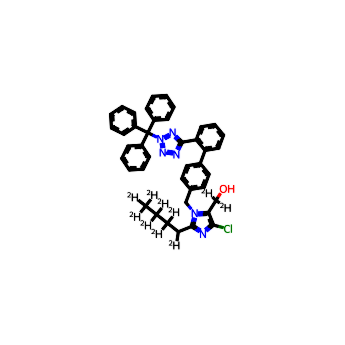 [2H]C(c1nc(Cl)c(C([2H])([2H])O)n1Cc1ccc(-c2ccccc2-c2nnn(C(c3ccccc3)(c3ccccc3)c3ccccc3)n2)cc1)C([2H])([2H])C([2H])([2H])C([2H])([2H])[2H]